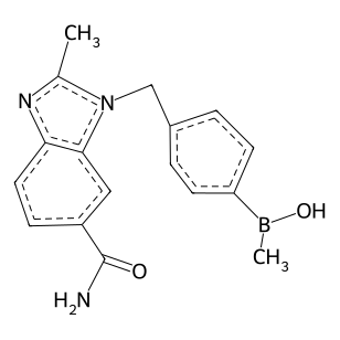 CB(O)c1ccc(Cn2c(C)nc3ccc(C(N)=O)cc32)cc1